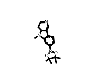 CN1c2cc(B3OC(C)(C)C(C)(C)O3)ccc2C2=CN=CCC21